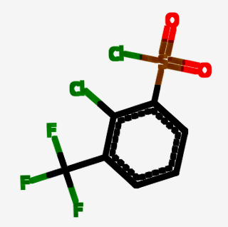 O=S(=O)(Cl)c1cccc(C(F)(F)F)c1Cl